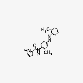 Cc1ccccc1/N=N/c1ccc(NC(=O)c2ccc[nH]2)c(C)c1